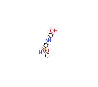 Cc1cc(/N=N/c2ccc(S(=O)(=O)NC3CCCC3)cc2)cc(C)c1O